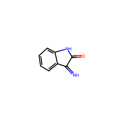 N=C1C(=O)Nc2ccccc21